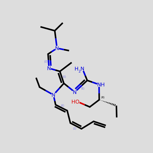 C=C/C=C\C=C\N(CC)C(/N=C(\N)N[C@H](CC)CO)=C(C)\N=C/N(C)C(C)C